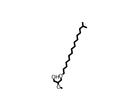 COC(CO)COCCCCCCCCCCCCCCC(C)C